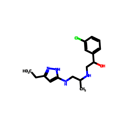 CC(CNc1cc(CC(=O)O)n[nH]1)NCC(O)c1cccc(Cl)c1